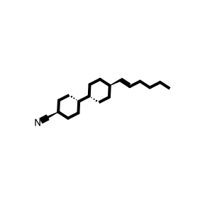 CCCCC=C[C@H]1CC[C@H]([C@H]2CC[C@H](C#N)CC2)CC1